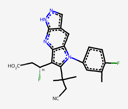 Cc1cc(-n2c(C(C)(C)CC#N)c([C@H](F)CC(=O)O)c3nc4[nH]ncc4cc32)ccc1F